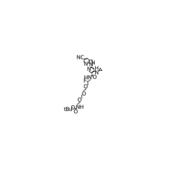 CC(C)(C)OC(=O)NCCOCCOCCOCC(F)CNC(=O)c1cnc(-n2ncc3cc(C#N)cnc32)cc1NC1CC1